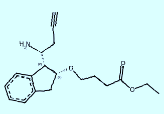 C#CCC(N)[C@H]1c2ccccc2C[C@H]1OCCCC(=O)OCC